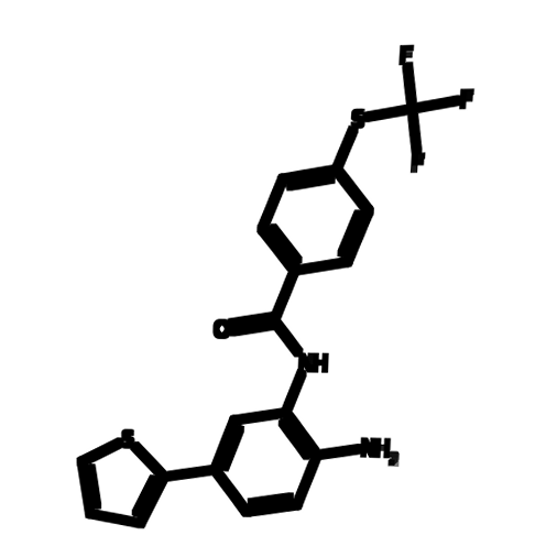 Nc1ccc(-c2cccs2)cc1NC(=O)c1ccc(SC(F)(F)F)cc1